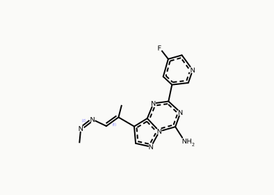 C/N=N\C=C(/C)c1cnn2c(N)nc(-c3cncc(F)c3)nc12